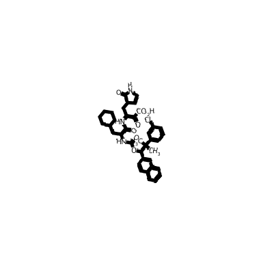 CC(C)(c1cccc(Cl)c1)C(OC(=O)NC(CC1CCCCC1)C(=O)NC(CC1CCNC1=O)C(=O)C(=O)O)c1ccc2ccccc2c1